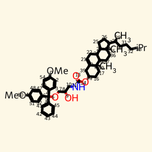 COc1ccc(C(OCC(O)CNC(=O)O[C@@H]2CC[C@]3(C)C(=CCC4C5CCC(C(C)CCCC(C)C)[C@]5(C)CCC43)C2)(c2ccccc2)c2ccc(OC)cc2)cc1